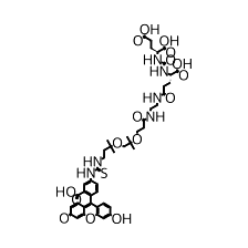 CC(C)(CCNC(=S)Nc1ccc(-c2c3ccc(=O)cc-3oc3cc(O)ccc23)c(C(=O)O)c1)OCC(C)(C)OCCC(=O)NCCNC(=O)CC[C@H](NC(=O)N[C@@H](CCC(=O)O)C(=O)O)C(=O)O